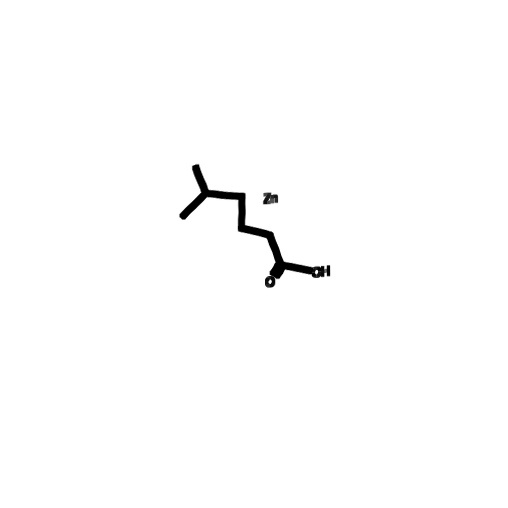 CC(C)CCCC(=O)O.[Zn]